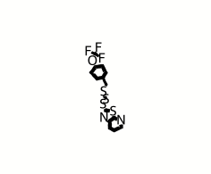 FC(F)(F)Oc1ccc(CSSSc2nc3cccnc3s2)cc1